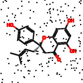 CC(C)=CC[C@@]1(c2ccc(O)cc2)CC(=O)c2c(O)cc(O)cc2O1